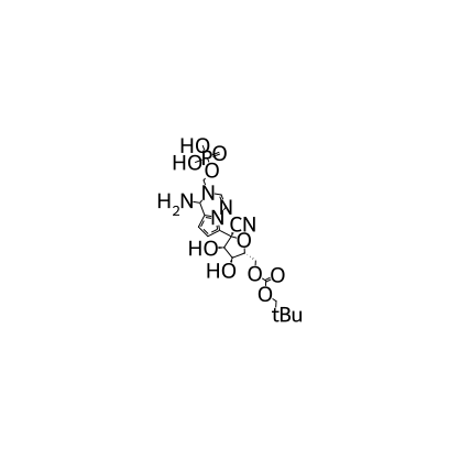 CC(C)(C)COC(=O)OC[C@H]1O[C@@](C#N)(c2ccc3n2N=CN(COP(=O)(O)O)C3N)[C@H](O)[C@@H]1O